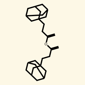 C=C(CCC12CC3CC(CC(C3)C1)C2)OC(=C)CCC12CC3CC(CC(C3)C1)C2